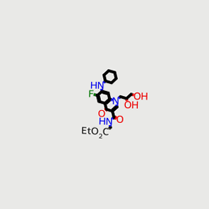 CCOC(=O)CNC(=O)c1cn(CC(O)CO)c2cc(NC3CCCCC3)c(F)cc2c1=O